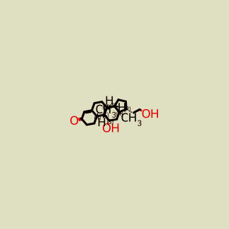 C[C@]12C[C@H](O)[C@H]3[C@@H](CCC4=CC(=O)CC[C@@]43C)[C@@H]1CC[C@@H]2CCO